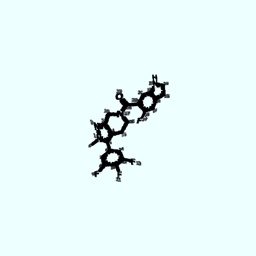 Cn1nc2c(c1-c1cc(F)c(F)c(F)c1)CCN(C(=O)c1cc3[nH]ccc3cc1F)C2